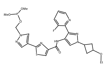 CCOC1CC(n2cc(NC(=O)c3csc(-c4cnn(COP(OC)OC)c4)n3)c(-c3ncccc3F)n2)C1